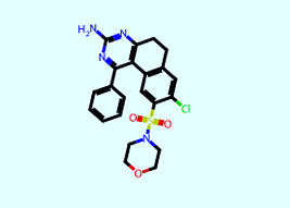 Nc1nc2c(c(-c3ccccc3)n1)-c1cc(S(=O)(=O)N3CCOCC3)c(Cl)cc1CC2